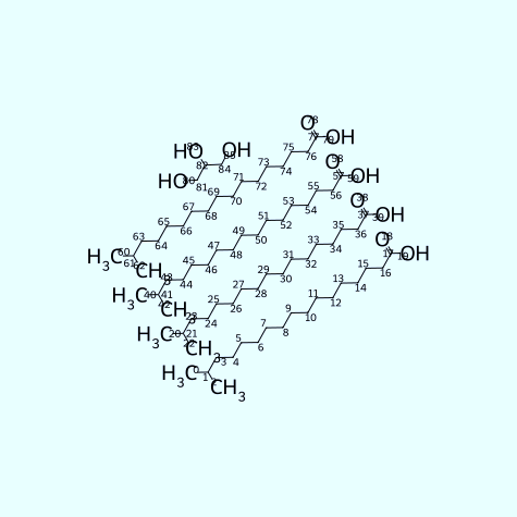 CC(C)CCCCCCCCCCCCCCC(=O)O.CC(C)CCCCCCCCCCCCCCC(=O)O.CC(C)CCCCCCCCCCCCCCC(=O)O.CC(C)CCCCCCCCCCCCCCC(=O)O.OCC(O)CO